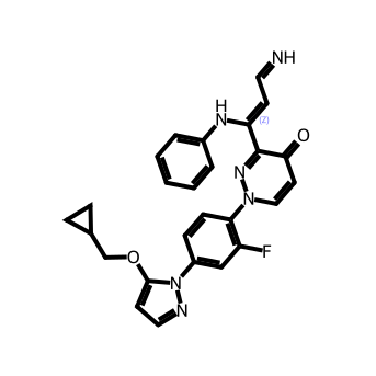 N=C/C=C(\Nc1ccccc1)c1nn(-c2ccc(-n3nccc3OCC3CC3)cc2F)ccc1=O